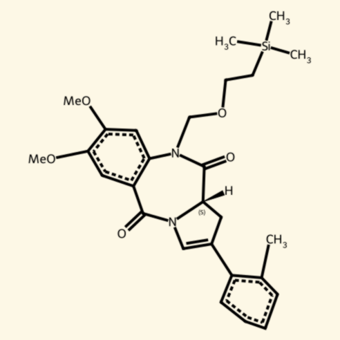 COc1cc2c(cc1OC)N(COCC[Si](C)(C)C)C(=O)[C@@H]1CC(c3ccccc3C)=CN1C2=O